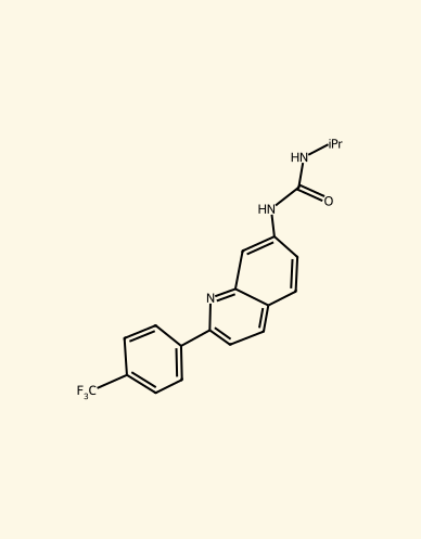 CC(C)NC(=O)Nc1ccc2ccc(-c3ccc(C(F)(F)F)cc3)nc2c1